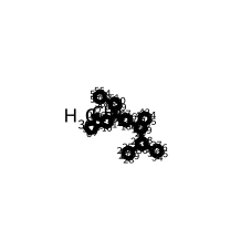 CC1(C)c2ccccc2-c2ccc(N(c3ccc(-c4cc(-c5cc(C6CCCCC6)cc(C6CCCCC6)c5)cc5c4CCCC5)cc3)c3cccc(C4CCCCC4)c3)cc21